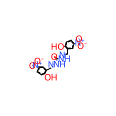 O=C(N/N=C/c1cc([N+](=O)[O-])ccc1O)N/N=C/c1cc([N+](=O)[O-])ccc1O